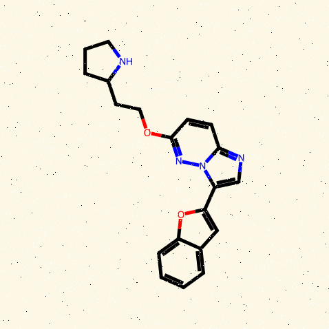 c1ccc2oc(-c3cnc4ccc(OCCC5CCCN5)nn34)cc2c1